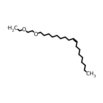 [CH2]COCCOCCCCCCCC/C=C\CCCCCCCC